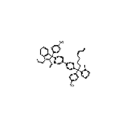 C=C/C=C\CCCC(c1ccc(N=O)cc1)(c1ccc(-c2ccc(C3(c4ccc(N=O)cc4)C(C=C)=C(/C=C\C)C4=C3C=CCC4)cc2)cc1)c1ccccc1C